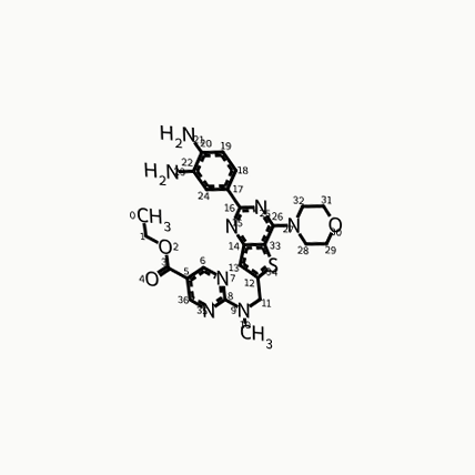 CCOC(=O)c1cnc(N(C)Cc2cc3nc(-c4ccc(N)c(N)c4)nc(N4CCOCC4)c3s2)nc1